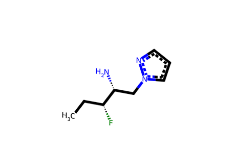 CC[C@@H](F)[C@H](N)Cn1cccn1